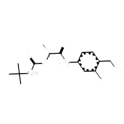 C[C@H](OC(=O)NC(C)(C)C)C(=O)Nc1ccc(CO)c(I)c1